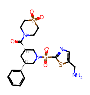 NCc1cnc(S(=O)(=O)N2C[C@@H](C(=O)N3CCS(=O)(=O)CC3)C[C@@H](c3ccccc3)C2)s1